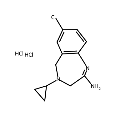 Cl.Cl.NC1=Nc2ccc(Cl)cc2CN(C2CC2)C1